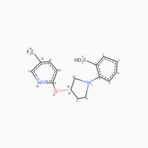 O=C(O)c1ccccc1N1CC[C@H](Oc2ccc(C(F)(F)F)cn2)C1